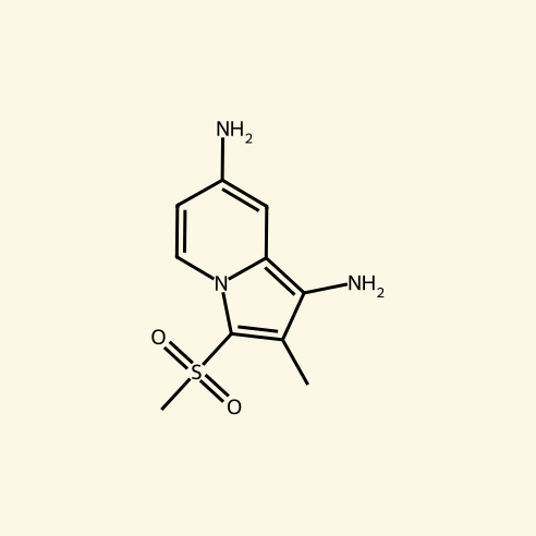 Cc1c(N)c2cc(N)ccn2c1S(C)(=O)=O